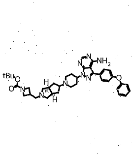 CC(C)(C)OC(=O)N1CC(CN2C[C@H]3CC(N4CCC(n5nc(-c6ccc(Oc7ccccc7)cc6)c6c(N)ncnc65)CC4)C[C@H]3C2)C1